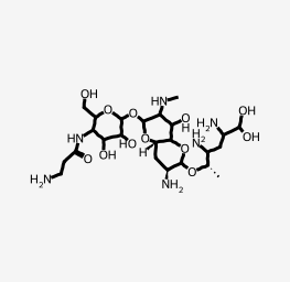 CNC1C(OC2OC(CO)C(NC(=O)CCN)C(O)C2O)O[C@H]2C[C@H](N)C(O[C@@H](C)C(N)CC(N)C(O)O)OC2C1O